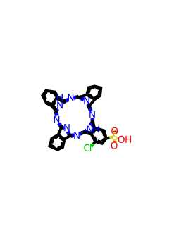 O=S(=O)(O)c1cc(Cl)c2c3nc4nc(nc5[nH]c(nc6nc(nc([nH]3)c2c1)-c1ccccc1-6)c1ccccc51)-c1ccccc1-4